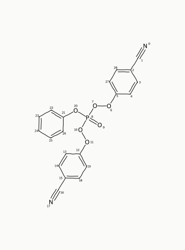 N#Cc1ccc(OOP(=O)(OOc2ccc(C#N)cc2)Oc2ccccc2)cc1